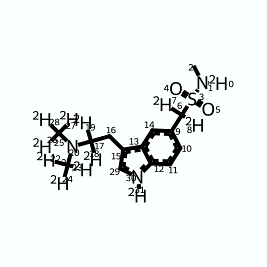 [2H]N(C)S(=O)(=O)C([2H])([2H])c1ccc2c(c1)c(CC([2H])([2H])N(C([2H])([2H])[2H])C([2H])([2H])[2H])cn2[2H]